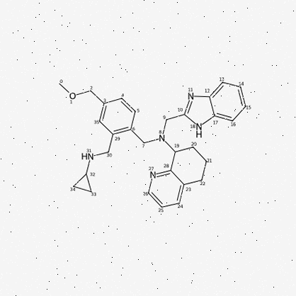 COCc1ccc(CN(Cc2nc3ccccc3[nH]2)C2CCCc3cccnc32)c(CNC2CC2)c1